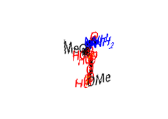 CO[C@@H]1[C@H](O)[C@@H](COP(=O)(O)OCCOCCOP(=O)(O)OC)O[C@H]1n1cnc2c(=O)[nH]c(N)nc21